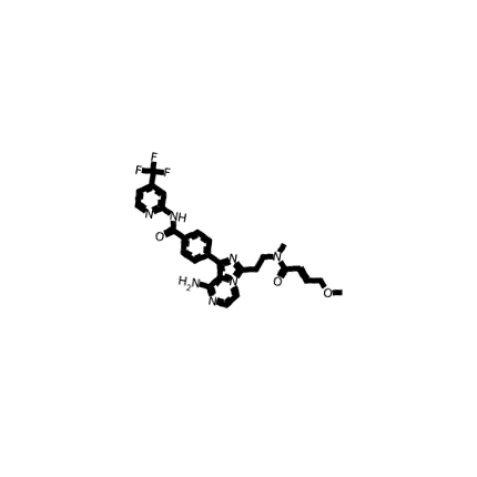 COC/C=C/C(=O)N(C)CCc1nc(-c2ccc(C(=O)Nc3cc(C(F)(F)F)ccn3)cc2)c2c(N)nccn12